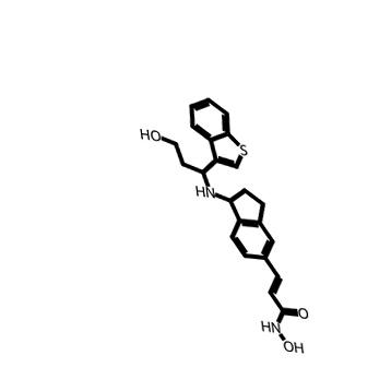 O=C(/C=C/c1ccc2c(c1)CCC2NC(CCO)c1csc2ccccc12)NO